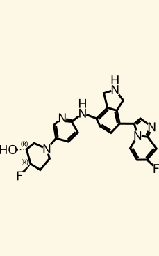 O[C@@H]1CN(c2ccc(Nc3ccc(-c4cnc5cc(F)ccn45)c4c3CNC4)nc2)CC[C@H]1F